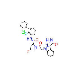 NC(=O)c1nn(CC(=O)N2CC(=O)CC2C(=O)Nc2cccc(-c3ccccc3Cl)c2F)c2ccccc12